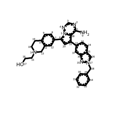 Nc1ncnn2c(-c3ccc4c(c3)CN(CCO)CC4)cc(-c3ccc4cn(Cc5ccccc5)nc4c3)c12